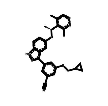 Cc1cnnc(C)c1[C@@H](C)Oc1ccc2[nH]nc(-c3cc(C#N)cc(OCC4CC4)c3)c2c1